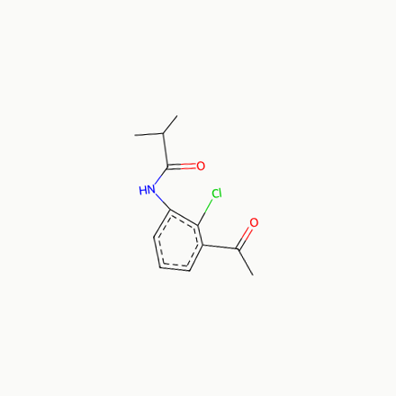 CC(=O)c1cccc(NC(=O)C(C)C)c1Cl